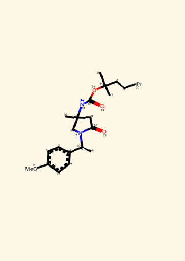 COc1ccc([C@H](C)N2CC(C)(NC(=O)OC(C)(C)CCC(C)C)CC2=O)cc1